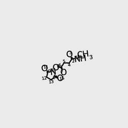 CNC(=O)CCC(=O)ON1C(=O)CCC1=O